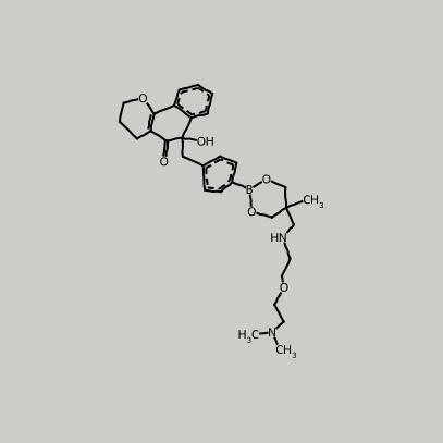 CN(C)CCOCCNCC1(C)COB(c2ccc(CC3(O)C(=O)C4=C(OCCC4)c4ccccc43)cc2)OC1